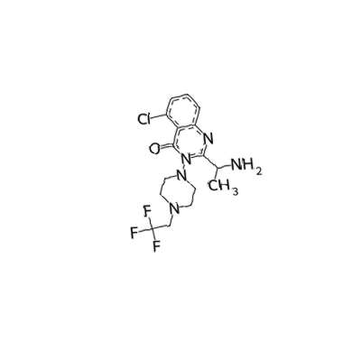 CC(N)c1nc2cccc(Cl)c2c(=O)n1N1CCN(CC(F)(F)F)CC1